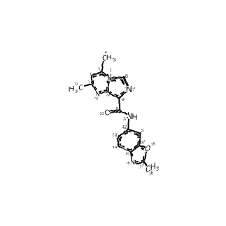 Cc1cc(C)n2cnc(C(=O)Nc3ccc4nc(C)oc4c3)c2n1